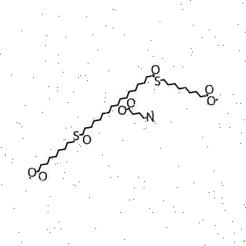 COC(=O)CCCCCCCCSC(=O)CCCCCCCC(CCCCCCCC(=O)SCCCCCCCCC(=O)OC)OC(=O)CCCN(C)C